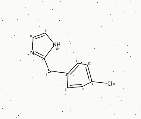 Clc1ccc(Sc2ncc[nH]2)cc1